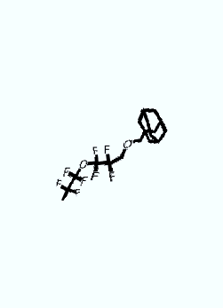 CC(F)(F)C(F)(F)OC(F)(F)C(F)(F)COCC12CC3CC(CC(C3)C1)C2